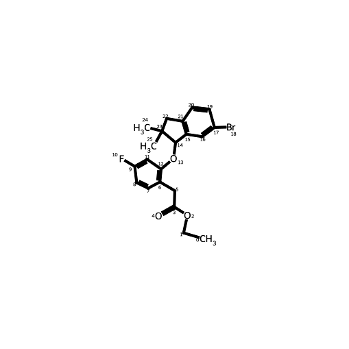 CCOC(=O)Cc1ccc(F)cc1OC1c2cc(Br)ccc2CC1(C)C